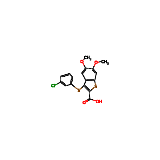 COc1cc2sc(C(=O)O)c(Sc3cccc(Cl)c3)c2cc1OC